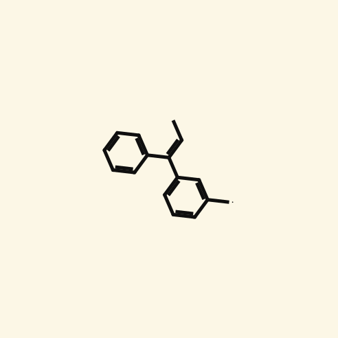 [CH2]c1cccc(C(=CC)c2ccccc2)c1